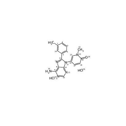 Cc1cccc(-c2nc3c(N)ncnc3n2-c2ccc(=O)n(C)c2)c1.Cl.Cl